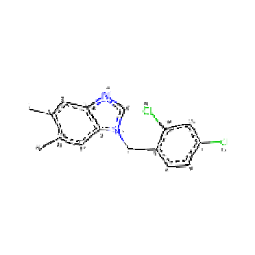 Cc1cc2ncn(Cc3ccc(Cl)cc3Cl)c2cc1C